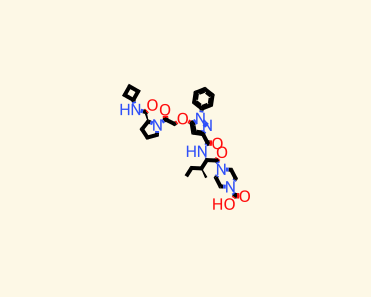 CC[C@H](C)[C@H](NC(=O)c1cc(OCC(=O)N2CCC[C@H]2C(=O)NC2CCC2)n(-c2ccccc2)n1)C(=O)N1CCN(C(=O)O)CC1